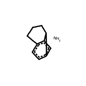 N.c1cc2c3cc1C3CCC2